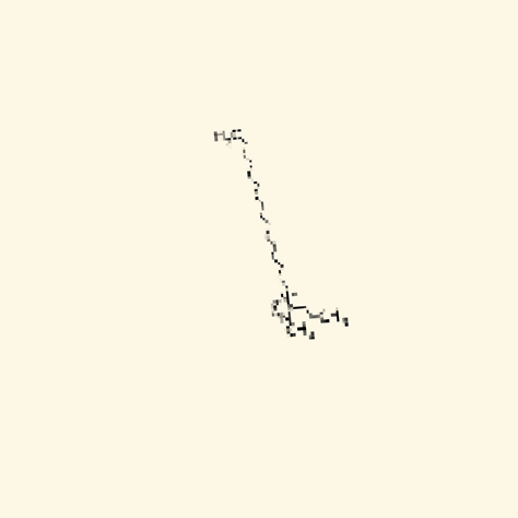 CCCCCCCCCCCCCCCC[n+]1ccn(C)c1CCC